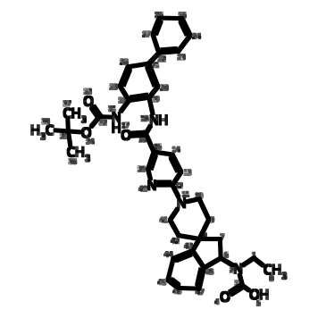 CCN(C(=O)O)C1CC2(CCN(c3ccc(C(=O)Nc4cc(-c5ccccc5)ccc4NC(=O)OC(C)(C)C)cn3)CC2)c2ccccc21